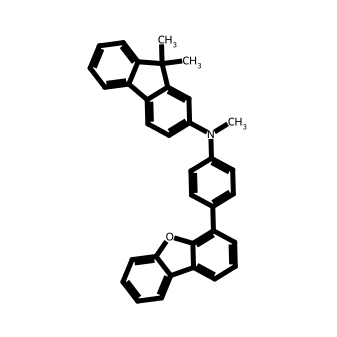 CN(c1ccc(-c2cccc3c2oc2ccccc23)cc1)c1ccc2c(c1)C(C)(C)c1ccccc1-2